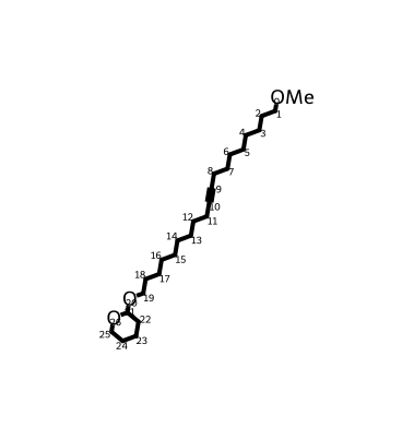 COCCCCCCCCC#CCCCCCCCCCOC1CCCCO1